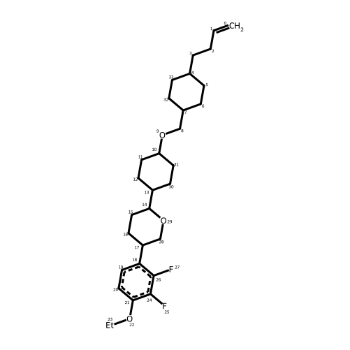 C=CCCC1CCC(COC2CCC(C3CCC(c4ccc(OCC)c(F)c4F)CO3)CC2)CC1